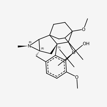 COc1ccc2c3c1OC1C4(OC)CCC5(CC4C(C)(O)C(C)(C)C)C4[N@](C)[C@]4(C2)C[C@]315